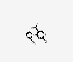 CC1=NC=C[SH]1c1nc(Cl)ncc1C(F)F